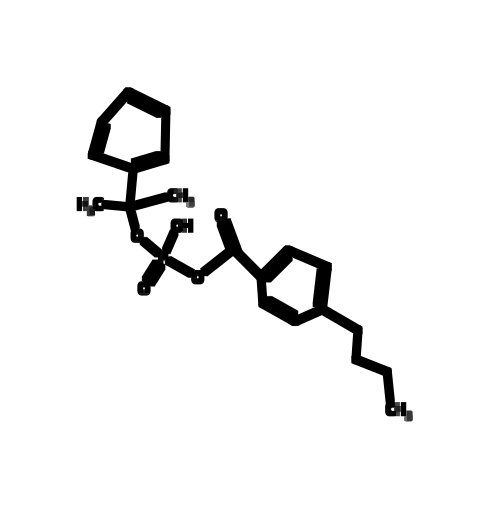 CCCCc1ccc(C(=O)OP(=O)(O)OC(C)(C)c2ccccc2)cc1